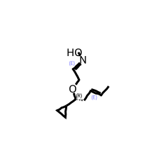 C/C=C/C[C@@H](OC/C=N/O)C1CC1